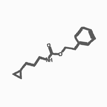 O=C(NCCCC1CC1)OCCc1ccccc1